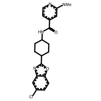 CNc1cc(C(=O)NC2CCC(c3nc4cc(Cl)ccc4o3)CC2)ccn1